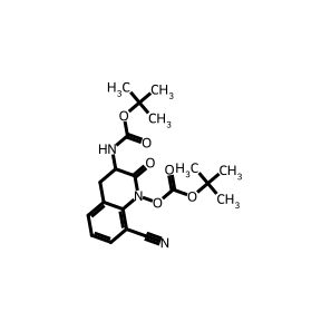 CC(C)(C)OC(=O)NC1Cc2cccc(C#N)c2N(OC(=O)OC(C)(C)C)C1=O